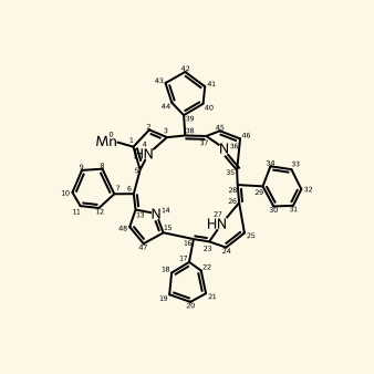 [Mn][c]1cc2[nH]c1c(-c1ccccc1)c1nc(c(-c3ccccc3)c3ccc([nH]3)c(-c3ccccc3)c3nc(c2-c2ccccc2)C=C3)C=C1